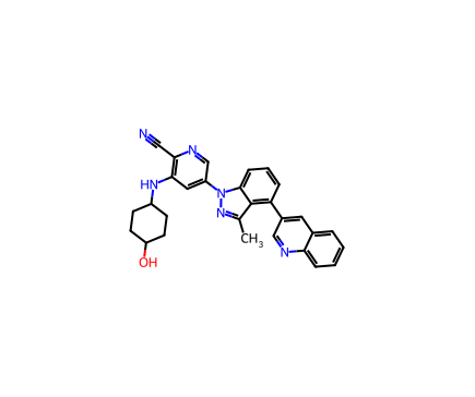 Cc1nn(-c2cnc(C#N)c(NC3CCC(O)CC3)c2)c2cccc(-c3cnc4ccccc4c3)c12